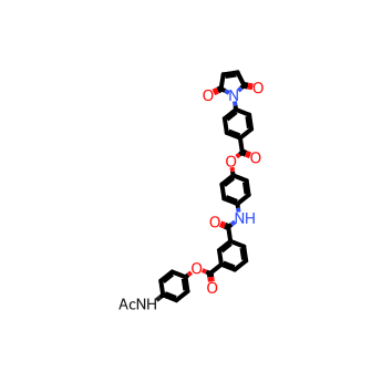 CC(=O)Nc1ccc(OC(=O)c2cccc(C(=O)Nc3ccc(OC(=O)c4ccc(N5C(=O)C=CC5=O)cc4)cc3)c2)cc1